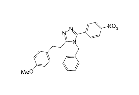 COc1ccc(CCc2nnc(-c3ccc([N+](=O)[O-])cc3)n2Cc2ccccc2)cc1